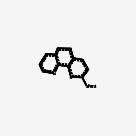 CCCCCc1ccc2ccc3cccnc3c2n1